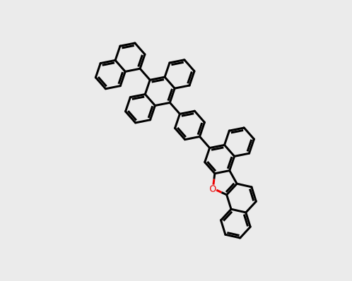 c1ccc2c(-c3c4ccccc4c(-c4ccc(-c5cc6oc7c8ccccc8ccc7c6c6ccccc56)cc4)c4ccccc34)cccc2c1